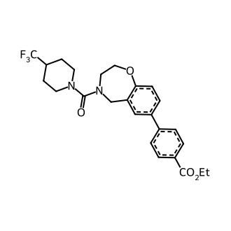 CCOC(=O)c1ccc(-c2ccc3c(c2)CN(C(=O)N2CCC(C(F)(F)F)CC2)CCO3)cc1